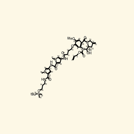 C=CCOC(=O)N1c2cc(OCCCC(=O)Nc3cc(C(=O)Nc4cc(C(=O)NCCCO[Si](C)(C)C(C)(C)C)n(C)c4)n(C)c3)c(OC)cc2C(=O)N2CC(=C)C[C@H]2C1O